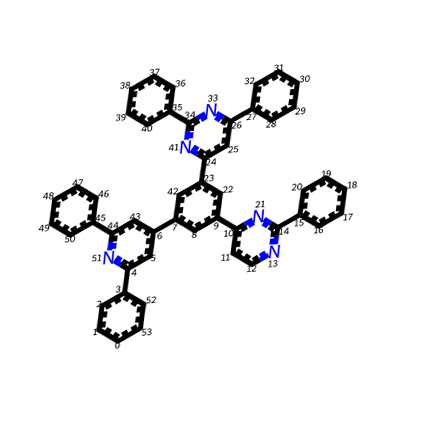 c1ccc(-c2cc(-c3cc(-c4ccnc(-c5ccccc5)n4)cc(-c4cc(-c5ccccc5)nc(-c5ccccc5)n4)c3)cc(-c3ccccc3)n2)cc1